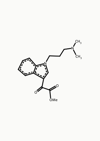 COC(=O)C(=O)c1cn(CCCN(C)C)c2ccccc12